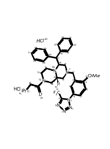 COc1ccc(-n2nnnc2C(F)(F)F)cc1CN1CC(C(c2ccccc2)c2ccccc2)N2CCN(C(=O)CC(C)C)C[C@H]2C1.Cl.Cl